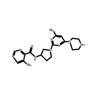 CC(C)(C)c1cc(N2CCNCC2)nc(N2CCC(NC(=O)c3ncncc3C(C)(C)C)C2)n1